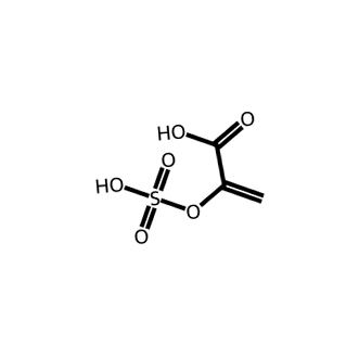 C=C(OS(=O)(=O)O)C(=O)O